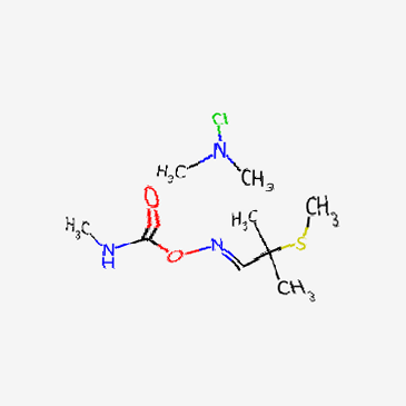 CN(C)Cl.CNC(=O)O/N=C/C(C)(C)SC